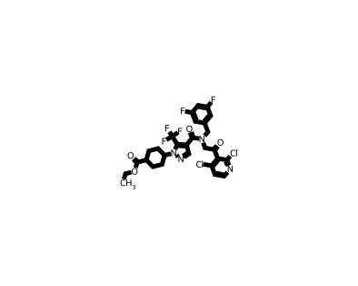 CCOC(=O)C1CCC(n2ncc(C(=O)N(CC(=O)c3c(Cl)ccnc3Cl)Cc3cc(F)cc(F)c3)c2C(F)(F)F)CC1